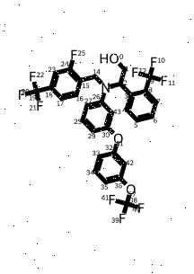 OCC(c1ccccc1C(F)(F)F)N(Cc1ccc(C(F)(F)F)cc1F)c1cccc(Oc2cccc(OC(F)(F)F)c2)c1